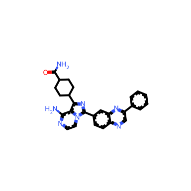 NC(=O)C1CCC(c2nc(-c3ccc4ncc(-c5ccccc5)nc4c3)n3ccnc(N)c23)CC1